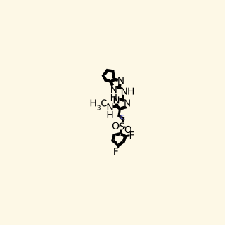 CNc1nc(Nc2nc3ccccc3[nH]2)ncc1/C=C/S(=O)(=O)c1ccc(F)cc1F